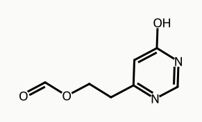 O=COCCc1cc(O)ncn1